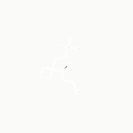 CC(C)(C)[Si](C)(C)OCC1([C@@H](O)CCO)CCC1